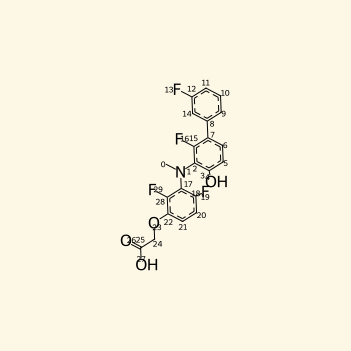 CN(c1c(O)ccc(-c2cccc(F)c2)c1F)c1c(F)ccc(OCC(=O)O)c1F